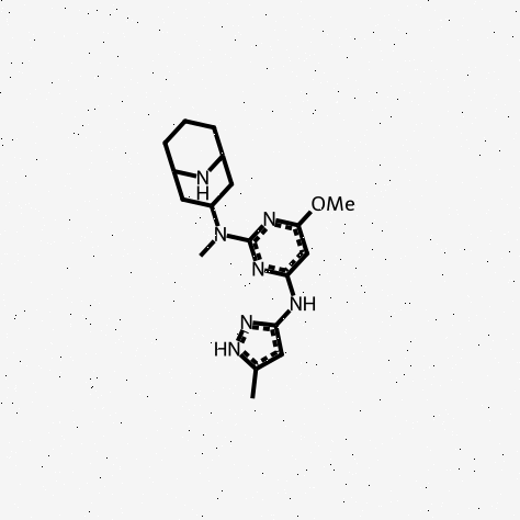 COc1cc(Nc2cc(C)[nH]n2)nc(N(C)C2CC3CCCC(C2)N3)n1